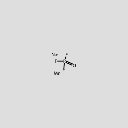 O=P(F)(F)F.[Mn].[Na]